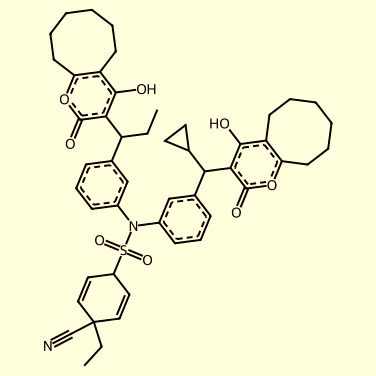 CCC(c1cccc(N(c2cccc(C(c3c(O)c4c(oc3=O)CCCCCC4)C3CC3)c2)S(=O)(=O)C2C=CC(C#N)(CC)C=C2)c1)c1c(O)c2c(oc1=O)CCCCCC2